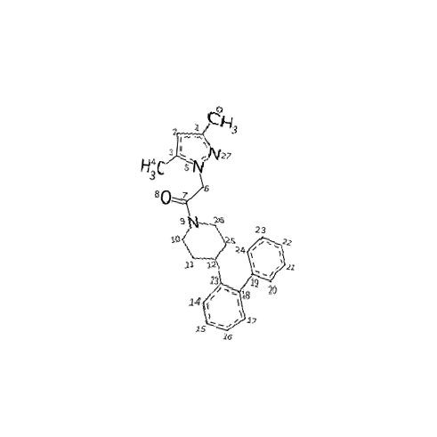 Cc1cc(C)n(CC(=O)N2CCC(c3ccccc3-c3ccccc3)CC2)n1